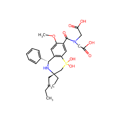 CCCC[C@]1(CC)CS(O)(O)c2cc(C(=O)N(CC(=O)O)CC(=O)O)c(OC)cc2[C@@H](c2ccccc2)N1